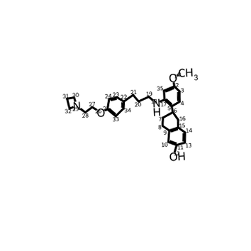 COc1ccc(C2CCc3cc(O)ccc3C2)c(NCCCc2ccc(OCCN3CCC3)cc2)c1